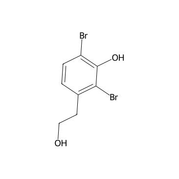 OCCc1ccc(Br)c(O)c1Br